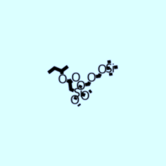 CCC(C)OC(=O)C[Si](OC)(OC)OCOCO[Si](C)(C)C